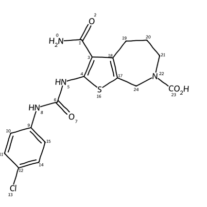 NC(=O)c1c(NC(=O)Nc2ccc(Cl)cc2)sc2c1CCCN(C(=O)O)C2